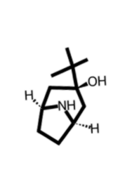 CC(C)(C)[C@]1(O)C[C@H]2CC[C@@H](C1)N2